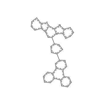 c1ccc2c(c1)nc1c3sc4ccccc4c3cc(-c3ccc(-c4ccc5c6ccccc6c6ccccc6c5c4)cc3)n21